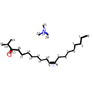 CCCCCCCC/C=C\CCCCCCCC(=O)C(C)C.CN(C)C